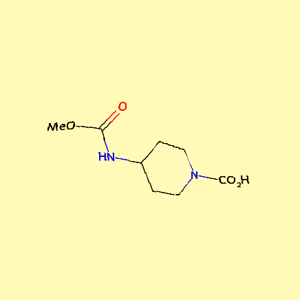 COC(=O)NC1CCN(C(=O)O)CC1